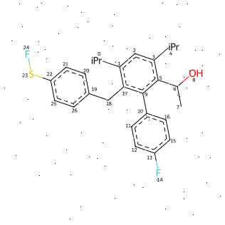 CC(C)c1cc(C(C)C)c(C(C)O)c(-c2ccc(F)cc2)c1Cc1ccc(SF)cc1